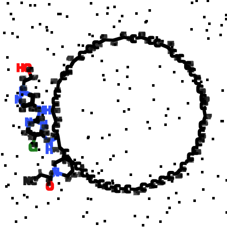 N#CCC(=O)N1CCC2(CCCCCCCCCCCCCCCCCCCCCCCCCCCCCCCCCCCCCCCCCCCCCCCCC(Nc3nc(Nc4cnn(CCO)c4)ncc3Cl)CC2)CC1